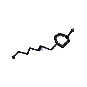 [O]CCC/C=C/Cc1ccc(Cl)cc1